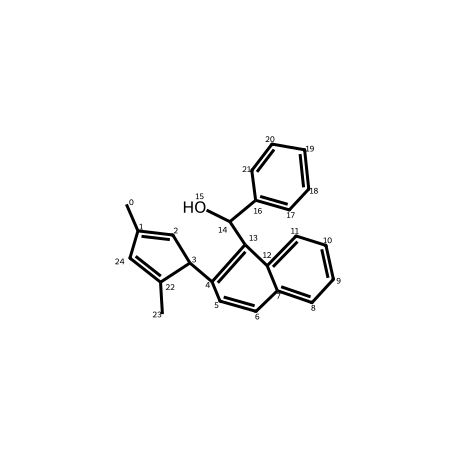 CC1=CC(c2ccc3ccccc3c2C(O)c2ccccc2)C(C)=C1